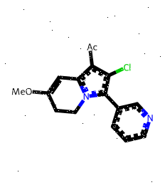 COC1=Cc2c(C(C)=O)c(Cl)c(-c3cccnc3)n2CC1